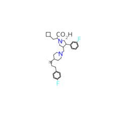 C[C@@H](CCc1ccc(F)cc1)C1CCN(CC2CN(C(CC3CCC3)C(=O)O)CC2c2cccc(F)c2)CC1